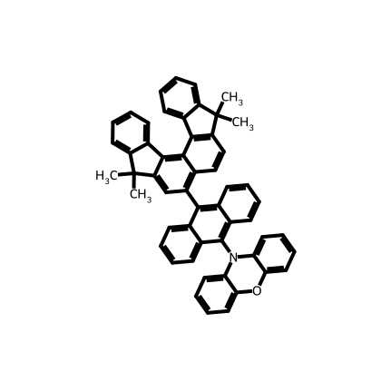 CC1(C)c2ccccc2-c2c1ccc1c(-c3c4ccccc4c(N4c5ccccc5Oc5ccccc54)c4ccccc34)cc3c(c21)-c1ccccc1C3(C)C